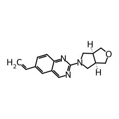 C=Cc1ccc2nc(N3C[C@H]4COC[C@H]4C3)ncc2c1